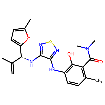 C=C(C)[C@@H](Nc1nsnc1Nc1ccc(C(F)(F)F)c(C(=O)N(C)C)c1O)c1ccc(C)o1